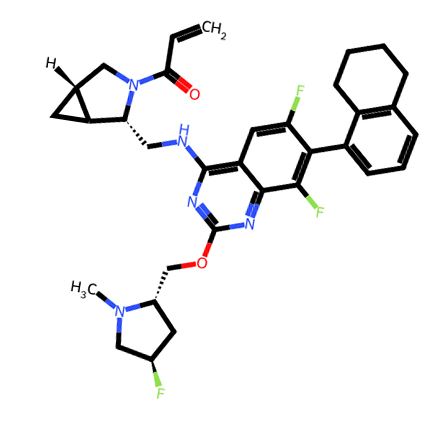 C=CC(=O)N1C[C@H]2CC2[C@H]1CNc1nc(OC[C@@H]2C[C@@H](F)CN2C)nc2c(F)c(-c3cccc4c3CCCC4)c(F)cc12